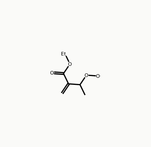 C=C(C(=O)OCC)C(C)O[O]